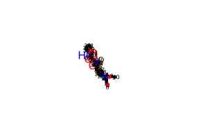 CCCCCN(CCCCC)c1ccc(/C=C2\SC(=S)N(CCS(=O)(=O)NC(=O)c3ccccc3)C2=O)cc1